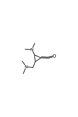 CN(C)CC1C(=C=O)C1N(C)C